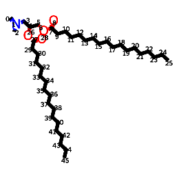 C=[N+](C)CC(COC(=O)CCCCCCCCCCCCCCCCC)OC(=O)CCCCCCCCCCCCCCCCC